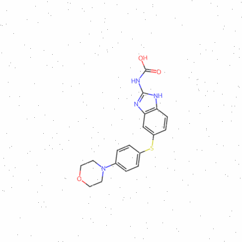 O=C(O)Nc1nc2cc(Sc3ccc(N4CCOCC4)cc3)ccc2[nH]1